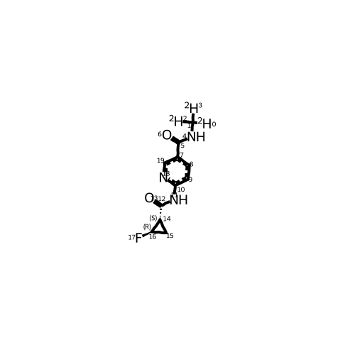 [2H]C([2H])([2H])NC(=O)c1ccc(NC(=O)[C@@H]2C[C@H]2F)nc1